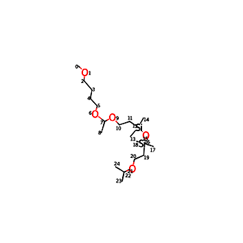 COCCCCOC(C)OCC[Si](C)(C)O[Si](C)(C)CCOC(C)C